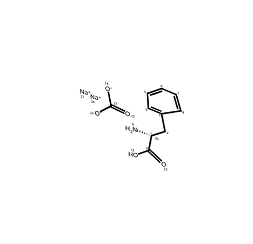 N[C@H](Cc1ccccc1)C(=O)O.O=C([O-])[O-].[Na+].[Na+]